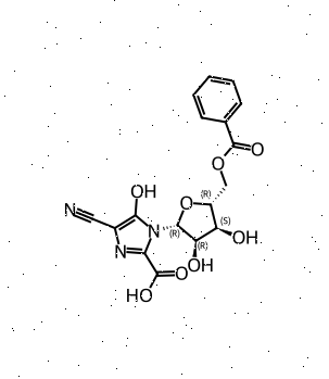 N#Cc1nc(C(=O)O)n([C@@H]2O[C@H](COC(=O)c3ccccc3)[C@@H](O)[C@H]2O)c1O